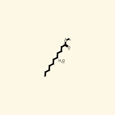 CCCCCCCCCCC(=O)OC.O